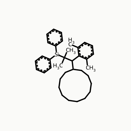 Cc1cccc(C)c1C(C1CCCCCCCCCCC1)C(C)(C)[Si](c1ccccc1)c1ccccc1